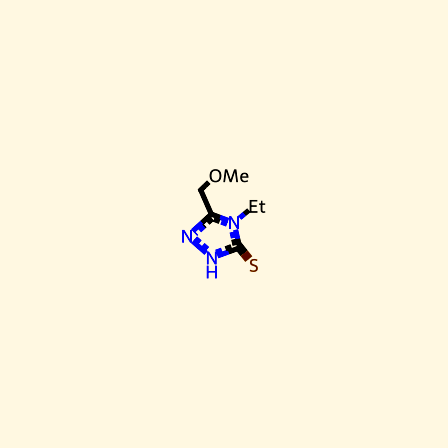 CCn1c(COC)n[nH]c1=S